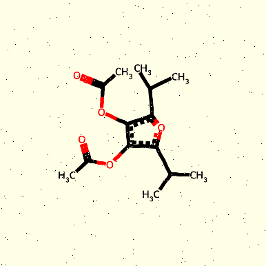 CC(=O)Oc1c(C(C)C)oc(C(C)C)c1OC(C)=O